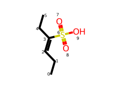 CC/C=C(/CC)S(=O)(=O)O